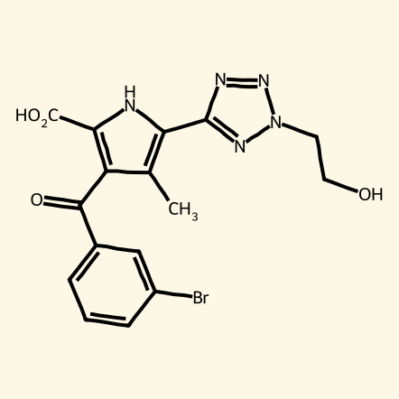 Cc1c(-c2nnn(CCO)n2)[nH]c(C(=O)O)c1C(=O)c1cccc(Br)c1